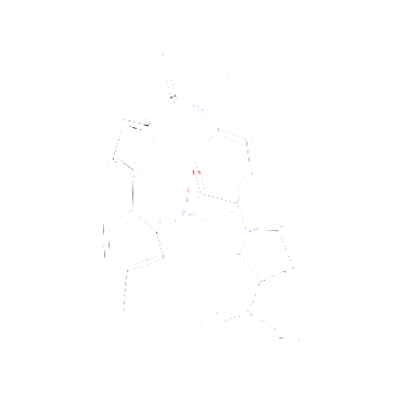 Cc1ccc(-c2ccc(C(=O)N(C)c3ccc(N4CCC(N(C)C)C4)cc3)o2)c([NH+]([O-])O)c1